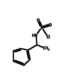 CC(NS(=O)(=O)Cl)c1ccccc1